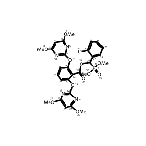 COc1cc(OC)nc(Oc2cccc(Oc3nc(OC)cc(OC)n3)c2C(=O)OC(c2ccccc2Cl)P(=O)(OC)OC)n1